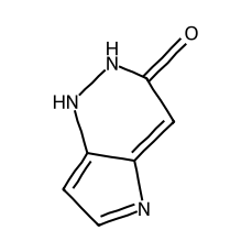 O=c1cc2nccc-2[nH][nH]1